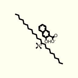 CCCCCCCCCCCCC(CCCCCCCCC)[N+](C)(C)C.O=C([O-])c1cc2ccccc2cc1O